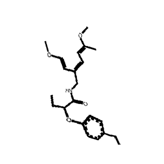 CCc1ccc(OC(CC)C(=O)NCC(/C=C/OC)=C/C=C(\C)OC)cc1